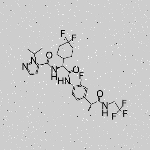 CC(C)n1nccc1C(=O)N[C@H](C(=O)Nc1ccc([C@H](C)C(=O)NCC(F)(F)F)cc1F)C1CCC(F)(F)CC1